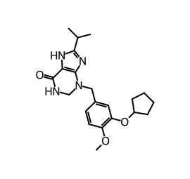 COc1ccc(CN2CNC(=O)c3[nH]c(C(C)C)nc32)cc1OC1CCCC1